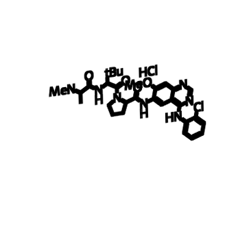 CNC(C)C(=O)NC(C(=O)N1CCCC1C(=O)Nc1cc2c(Nc3ccccc3Cl)ncnc2cc1OC)C(C)(C)C.Cl